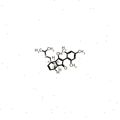 Cc1cc(C)c(C2=C(O)[C@H]3[C@@H](C2=O)[C@@H]2C=C[C@@]3(CSC(C)C)O2)c(C)c1